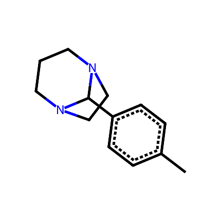 Cc1ccc(C2N3CCCN2CC3)cc1